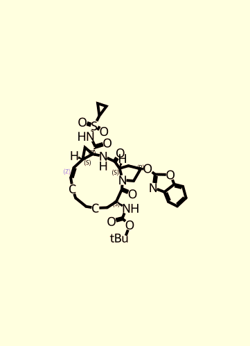 CC(C)(C)OC(=O)N[C@H]1CCCCC/C=C\[C@@H]2C[C@@]2(C(=O)NS(=O)(=O)C2CC2)NC(=O)[C@@H]2C[C@@H](Oc3nc4ccccc4o3)CN2C1=O